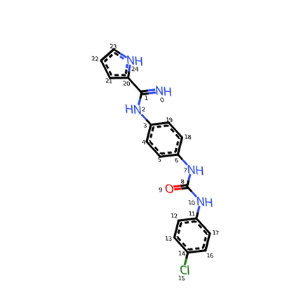 N=C(Nc1ccc(NC(=O)Nc2ccc(Cl)cc2)cc1)c1ccc[nH]1